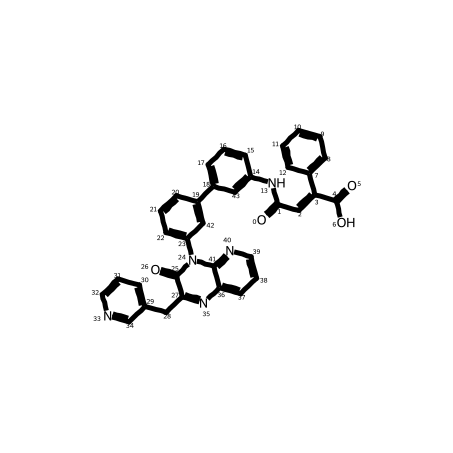 O=C(/C=C(/C(=O)O)c1ccccc1)Nc1cccc(-c2cccc(-n3c(=O)c(Cc4cccnc4)nc4cccnc43)c2)c1